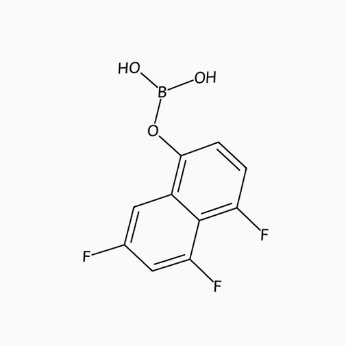 OB(O)Oc1ccc(F)c2c(F)cc(F)cc12